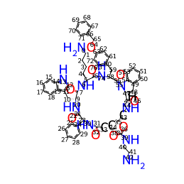 NCCCC[C@@H]1NC(=O)[C@@H](Cc2c[nH]c3ccccc23)NC(=O)[C@H](c2ccccc2)NC(=O)CC[C@@H](OC(=O)NCCN)CNC(=O)[C@@H]2Cc3ccccc3N2C(=O)[C@H](Cc2ccc(OCc3ccccc3)cc2)NC1=O